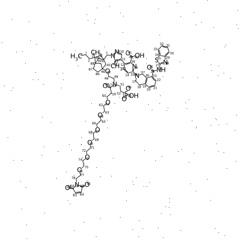 CCCC1(C)CC2(Cn3ncc(-c4ccc(N5CCc6cccc(C(=O)Nc7nc8ccccc8s7)c6C5)nc4C(=O)O)c3C)CC3(OCCN(CCS(=O)(=O)O)C(=O)CCOCCOCCOCCOCCOCCOCCN4C(=O)C=CC4=O)CCC1(C2)C3